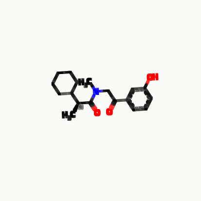 C[C@H](C(=O)N(C)CC(=O)c1cccc(O)c1)C1CCCCC1